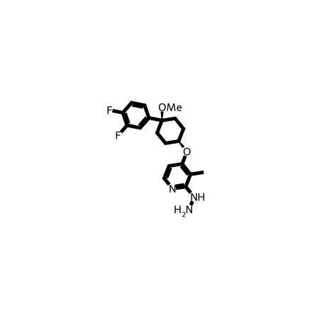 CO[C@]1(c2ccc(F)c(F)c2)CC[C@H](Oc2ccnc(NN)c2C)CC1